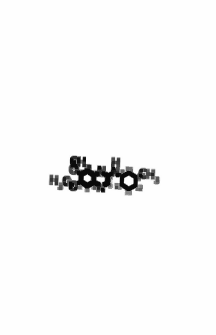 COc1cc2ncc(N[C@@H]3CCC[C@@H](C)C3)nc2cc1OC